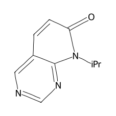 CC(C)n1c(=O)ccc2cncnc21